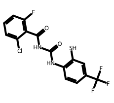 O=C(NC(=O)c1c(F)cccc1Cl)Nc1ccc(C(F)(F)F)cc1S